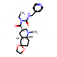 CCN(C(=O)NCc1ccncc1)C(=O)[C@@H]1C[C@@H]2CC3(CC[C@H]2N(C)C1)OCCO3